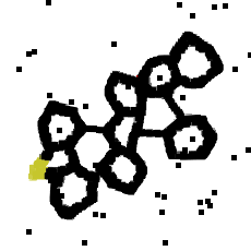 c1ccc(-c2c3ccccc3c(-c3cccc4sc5ccccc5c34)c3ccccc23)c(-c2cccc3ccccc23)c1